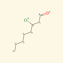 CCCCCC(Cl)C[C]=O